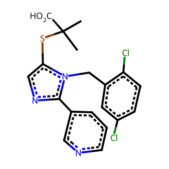 CC(C)(Sc1cnc(-c2cccnc2)n1Cc1cc(Cl)ccc1Cl)C(=O)O